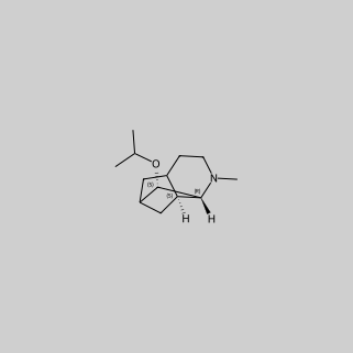 CC(C)O[C@H]1C2CC3CCN(C)[C@@H]1[C@H]3C2